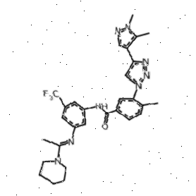 C/C(=N\c1cc(NC(=O)c2ccc(C)c(-n3cc(-c4cnn(C)c4C)nn3)c2)cc(C(F)(F)F)c1)N1CCCCC1